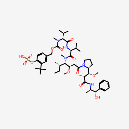 CC[C@H](C)[C@@H]([C@@H](CC(=O)N1CCC[C@H]1[C@H](OC)[C@@H](C)C(=O)N[C@H](C)[C@@H](O)c1ccccc1)OC)N(C)C(=O)[C@@H](NC(=O)[C@H](C(C)C)N(C)C(=O)OCc1ccc(OS(=O)(=O)O)c(C(C)(C)C)c1)C(C)C